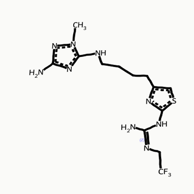 Cn1nc(N)nc1NCCCCc1csc(N/C(N)=N\CC(F)(F)F)n1